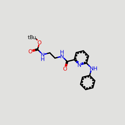 CC(C)(C)OC(=O)NCCNC(=O)c1cccc(Nc2ccccc2)n1